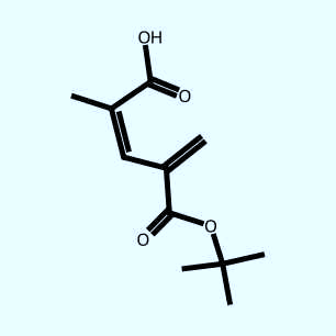 C=C(C=C(C)C(=O)O)C(=O)OC(C)(C)C